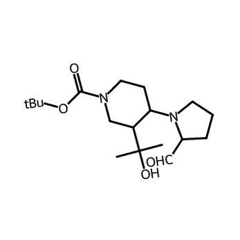 CC(C)(C)OC(=O)N1CCC(N2CCCC2C=O)C(C(C)(C)O)C1